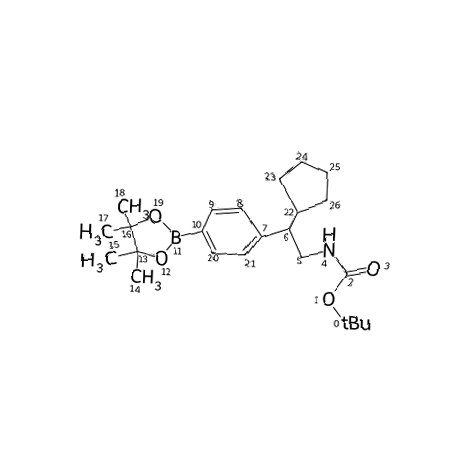 CC(C)(C)OC(=O)NCC(c1ccc(B2OC(C)(C)C(C)(C)O2)cc1)C1CCCC1